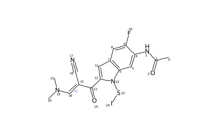 CC(=O)Nc1cc2c(cc1F)cc(C(=O)/C(C#N)=C/N(C)C)n2SI